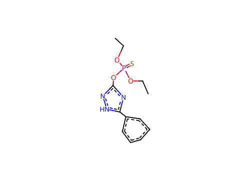 CCOP(=S)(OCC)Oc1n[nH]c(-c2ccccc2)n1